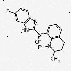 CCN1c2c(cccc2[S+]([O-])c2nc3ccc(F)cc3[nH]2)CCC1C